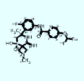 CN1CC2(C1)C(=N)N[C@](C)(c1cc(NC(=O)c3ccc(OC(F)F)cn3)ccc1F)CS2(O)O